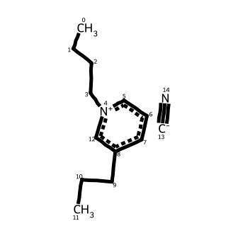 CCCC[n+]1cccc(CCC)c1.[C-]#N